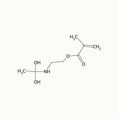 C=C(C)C(=O)OCCNC(C)(O)O